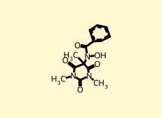 CN1C(=O)N(C)C(=O)C(C)(N(O)C(=O)c2ccccc2)C1=O